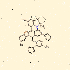 CC(C)(C)c1ccc(CC2c3cc(-c4ccccc4)cc4c3B(c3cc(C(C)(C)C)cc5c3N4C3(C)CCCCC53C)c3sc4ccc(C(C)(C)C)cc4c32)c(-c2ccccc2)c1